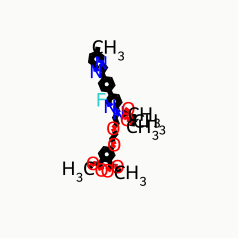 COC(=O)c1ccc(OCCOCCN(C(=O)OC(C)(C)C)c2ccc(-c3ccc(-c4cn5cc(C)ccc5n4)cc3)c(F)n2)cc1C(=O)OC